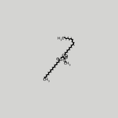 CCCCC/C=C\C/C=C\CCCCCCCC(=O)OC(COC(=O)CCCCCCCCCCCCCCC)C(=O)OCC